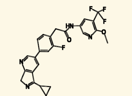 COc1ncc(NC(=O)Cc2ccc(-c3cnc4c(c3)C(C3CC3)=NC4)cc2F)cc1C(F)(F)F